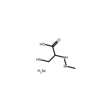 C[Se]NC(CS)C(=O)O.[SeH2]